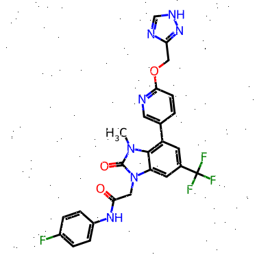 Cn1c(=O)n(CC(=O)Nc2ccc(F)cc2)c2cc(C(F)(F)F)cc(-c3ccc(OCc4nc[nH]n4)nc3)c21